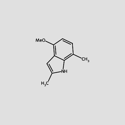 COc1ccc(C)c2[nH]c(C)cc12